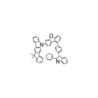 CC1(C)c2ccccc2-c2cc3c(cc21)c1ccccc1n3-c1ccc2c(c1)oc1cccc(-c3ccc(C4C(C5=CCCC=C5)=Nc5ccccc54)cc3)c12